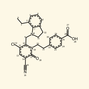 CCc1cccc2c1N(Cc1c(Cl)cc(C#N)c(=O)n1CCc1ccc(C(=O)O)cc1)CC2